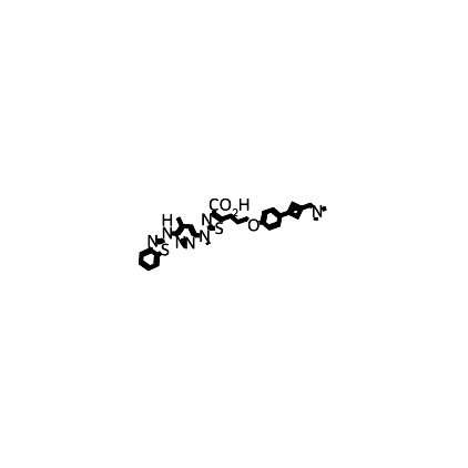 Cc1cc(N(C)c2nc(C(=O)O)c(CCCOc3ccc(C45CC(CN(C)C)(C4)C5)cc3)s2)nnc1Nc1nc2ccccc2s1